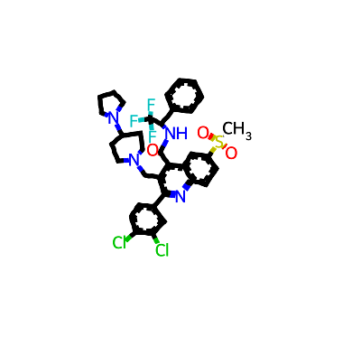 CS(=O)(=O)c1ccc2nc(-c3ccc(Cl)c(Cl)c3)c(CN3CCC(N4CCCC4)CC3)c(C(=O)NC(c3ccccc3)C(F)(F)F)c2c1